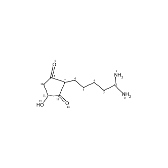 NC(N)CCCCC1C(=O)CC(O)C1=O